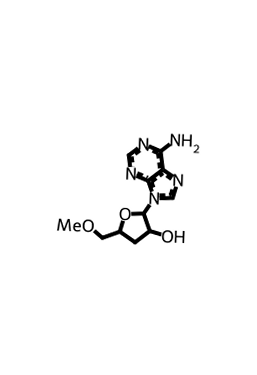 [CH2]OCC1CC(O)C(n2cnc3c(N)ncnc32)O1